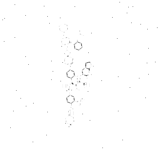 CC(C)Oc1ccccc1[C@@H]1CN(C2CCOCC2)CCN1C1CC2(CCN(c3ccc(C(=O)NS(=O)(=O)c4ccc(NCC5CCC(C)(O)CC5)c([N+](=O)[O-])c4)c(N4c5cc6cc[nH]c6nc5O[C@H]5COCC[C@@H]54)c3)[C@H](C)C2)C1